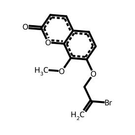 C=C(Br)COc1ccc2ccc(=O)oc2c1OC